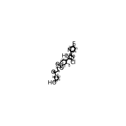 C[C@H]1CN(S(=O)(=O)CCC(=O)N2CC[C@H](O)C2)CC[C@H]1c1[nH]c(-c2ccc(F)cn2)nc1Cl